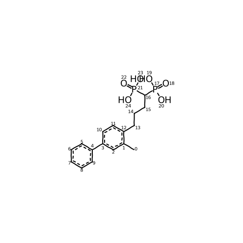 Cc1cc(-c2ccccc2)ccc1CCCC(P(=O)(O)O)P(=O)(O)O